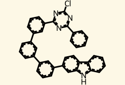 Clc1nc(-c2ccccc2)nc(-c2cccc(-c3cccc(-c4cccc(-c5ccc6c(c5)[nH]c5ccccc56)c4)c3)c2)n1